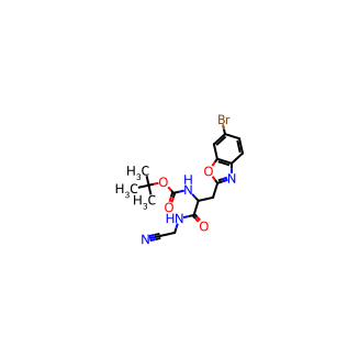 CC(C)(C)OC(=O)NC(Cc1nc2ccc(Br)cc2o1)C(=O)NCC#N